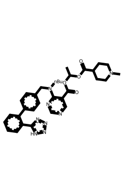 CCCCN(Cc1ccc(-c2ccccc2-c2nnn[nH]2)cc1)c1ncncc1C(=O)OC(C)OC(=O)C1CCN(C)CC1